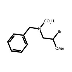 COC(Br)CN(Cc1ccccc1)C(=O)O